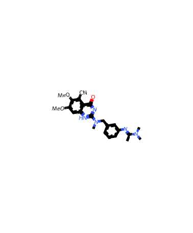 COc1cc2[nH]c(N(C)Cc3cccc(/N=C(\C)N(C)C)c3)nc(=O)c2c(C#N)c1OC